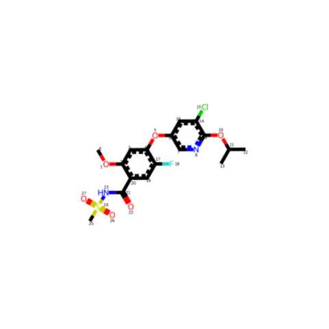 COc1cc(Oc2cnc(OC(C)C)c(Cl)c2)c(F)cc1C(=O)NS(C)(=O)=O